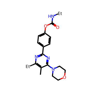 CCNC(=O)Oc1ccc(-c2nc(CC)c(C)c(N3CCOCC3)n2)cc1